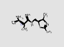 C/C(C(=N)NCc1sc(C)nc1C)=C(/N)Cl